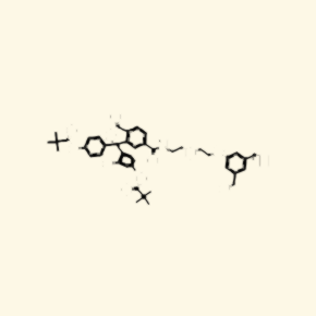 [2H]Cc1cc(CO)cc(OCCOCCNC(=O)c2ccc3c(c2)C2(OC3=O)c3ccc(OC(=O)C(C)(C)C)cc3Oc3cc(OC(=O)C(C)(C)C)ccc32)c1